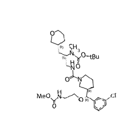 COC(=O)NCCO[C@@H](c1cccc(Cl)c1)[C@@H]1CCCN(C(=O)NC[C@H](C[C@H]2CCCOC2)N(C)C(=O)OC(C)(C)C)C1